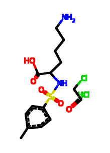 Cc1ccc(S(=O)(=O)NC(CCCCN)C(=O)O)cc1.Cl.O=CCCl